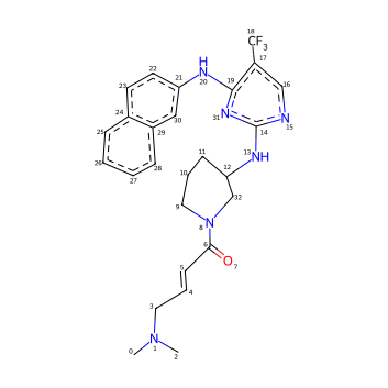 CN(C)CC=CC(=O)N1CCCC(Nc2ncc(C(F)(F)F)c(Nc3ccc4ccccc4c3)n2)C1